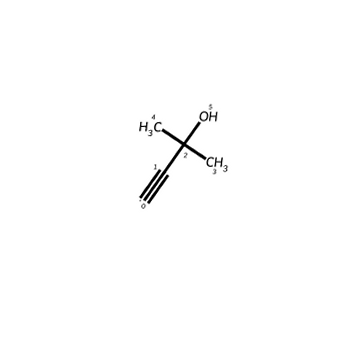 [C]#CC(C)(C)O